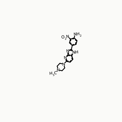 CN1CCN(c2ccc3[nH]c(-c4ccc(N)c([N+](=O)[O-])c4)nc3n2)CC1